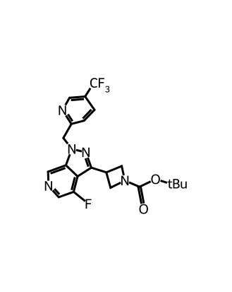 CC(C)(C)OC(=O)N1CC(c2nn(Cc3ccc(C(F)(F)F)cn3)c3cncc(F)c23)C1